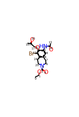 CCOC(=O)N1CCc2cc(NC(C)=O)c(OCC(C)=O)c(Br)c2CC1